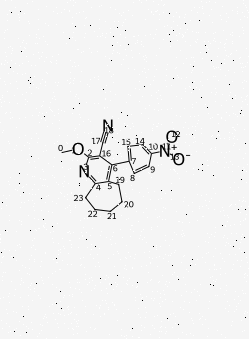 COc1nc2c(c(-c3ccc([N+](=O)[O-])cc3)c1C#N)CCCCC2